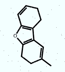 CC1=Cc2c(oc3c2CCC=C3)CC1